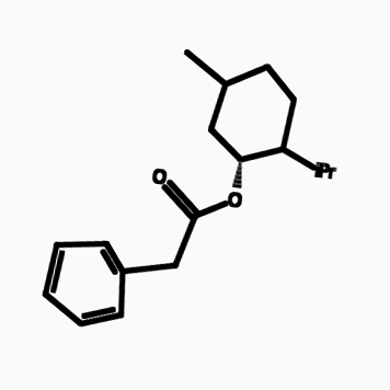 CC1CCC(C(C)C)[C@H](OC(=O)Cc2ccccc2)C1